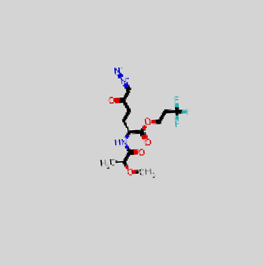 CO[C@@H](C)C(=O)N[C@@H](CCC(=O)C=[N+]=[N-])C(=O)OCCC(F)(F)F